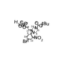 CC(C)(C)OC(=O)N1CCN(c2ccc(Br)cc2[N+](=O)[O-])[C@@H](CCOS(C)(=O)=O)C1